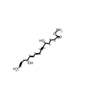 CC#CC[C@@H](O)/C=C/C=C/C#C[C@@H](O)CCCC(=O)ON